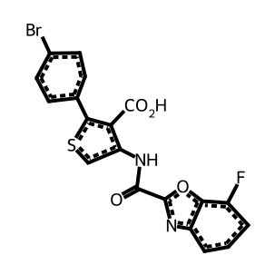 O=C(Nc1csc(-c2ccc(Br)cc2)c1C(=O)O)c1nc2cccc(F)c2o1